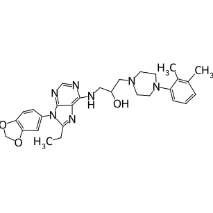 CCc1nc2c(NCC(O)CN3CCN(c4cccc(C)c4C)CC3)ncnc2n1-c1ccc2c(c1)OCO2